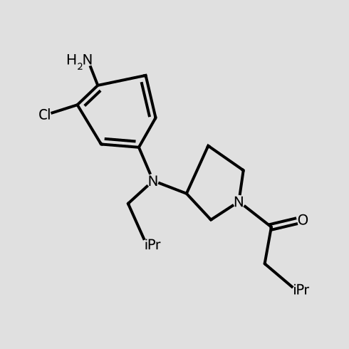 CC(C)CC(=O)N1CCC(N(CC(C)C)c2ccc(N)c(Cl)c2)C1